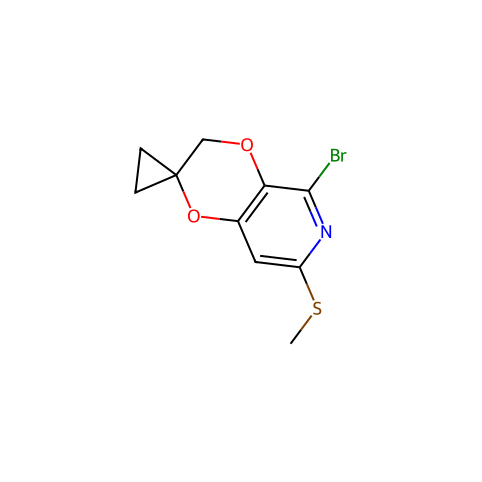 CSc1cc2c(c(Br)n1)OCC1(CC1)O2